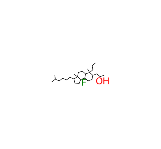 CCCC1(C)C(CC(C)O)CCC2(F)C3CCC(CCCCC(C)C)C3(C)CCC12